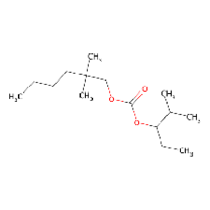 CCCCC(C)(C)COC(=O)OC(CC)C(C)C